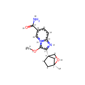 CC(C)Oc1c([C@@]23CC[C@@](C)(C2)OC3)nc2ccc(C(N)=O)cn12